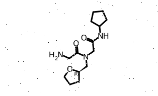 NCC(=O)N(CC(=O)NC1CCCC1)C[C@H]1CCCO1